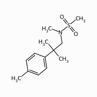 Cc1ccc(C(C)(C)CN(C)S(C)(=O)=O)cc1